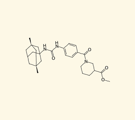 COC(=O)C1CCCN(C(=O)c2ccc(NC(=O)NC34CC5C[C@@](C)(C3)C[C@](C)(C5)C4)cc2)C1